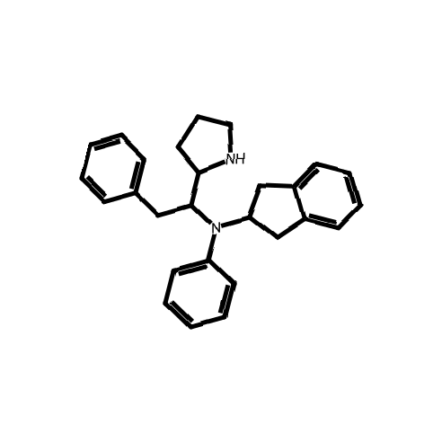 c1ccc(CC(C2CCCN2)N(c2ccccc2)C2Cc3ccccc3C2)cc1